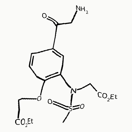 CCOC(=O)COc1ccc(C(=O)CN)cc1N(CC(=O)OCC)S(C)(=O)=O